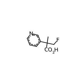 CC(CF)(C(=O)O)c1cccnc1